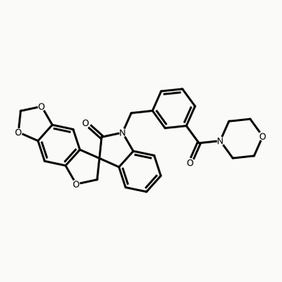 O=C(c1cccc(CN2C(=O)C3(COc4cc5c(cc43)OCO5)c3ccccc32)c1)N1CCOCC1